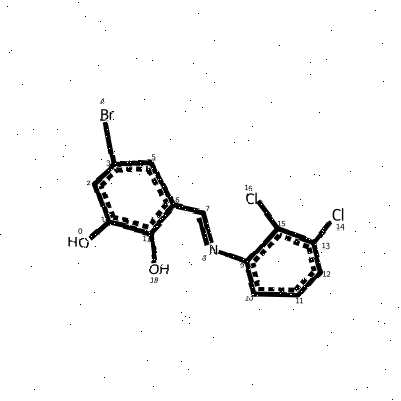 Oc1cc(Br)cc(C=Nc2cccc(Cl)c2Cl)c1O